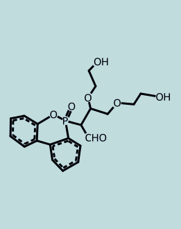 O=CC(C(COCCO)OCCO)P1(=O)Oc2ccccc2-c2ccccc21